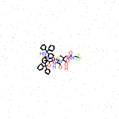 O=C(NCC(F)(F)F)OCC1=C(C(=O)O)N2C(=O)C(NC(=O)C(OC(c3ccccc3)(c3ccccc3)c3ccccc3)c3csc(NC(c4ccccc4)(c4ccccc4)c4ccccc4)n3)[C@@H]2SC1